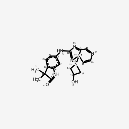 CC1(C)C(=O)Nc2cc(NC3=N[N+]4(N5CC(O)C5)C=CN=CC4=N3)ccc21